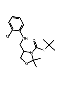 CC(C)(C)OC(=O)N1C(CNc2ccccc2Cl)COC1(C)C